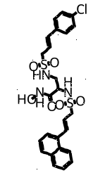 O=C(NO)C(CNS(=O)(=O)CC=Cc1ccc(Cl)cc1)NS(=O)(=O)CC=Cc1cccc2ccccc12